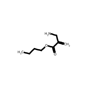 C=C(CN)C(=O)OCCCC